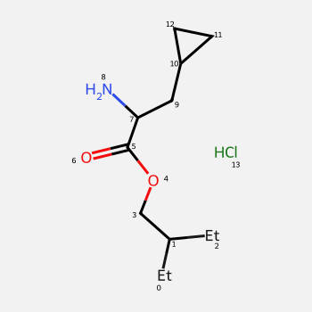 CCC(CC)COC(=O)C(N)CC1CC1.Cl